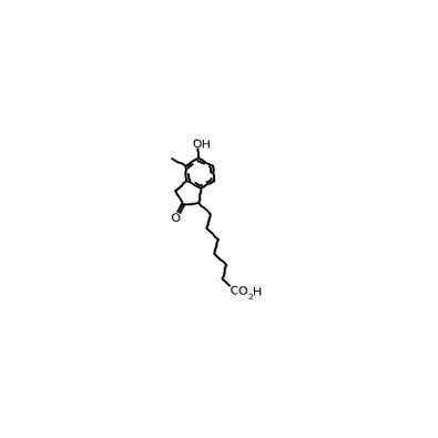 Cc1c(O)ccc2c1CC(=O)C2CCCCCCC(=O)O